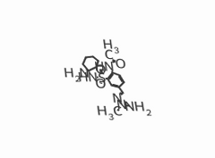 CC(=O)Nc1ccc(C=NN(C)N)cc1S(=O)(=O)NC1(N)CCCCC1